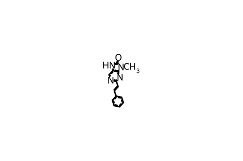 Cn1c(=O)[nH]c2cnc(C=Cc3ccccc3)nc21